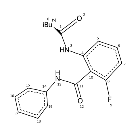 CC[C@H](C)C(=O)Nc1cccc(F)c1C(=O)Nc1ccccc1